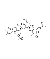 COC1C(C)[C@@H](O[C@@H]2C(COC(C)=O)O[C@H](OC)C(C)[C@H]2C)O[C@@H](C)[C@H]1O[C@H]1O[C@@H](COC(C)=O)[C@@H](O[C@@H]2OC(C)[C@@H](C)[C@H](C)C2C)C(C)C1C